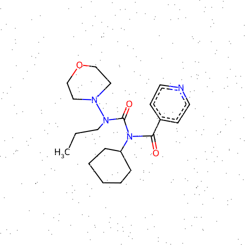 CCCN(C(=O)N(C(=O)c1ccncc1)C1CCCCC1)N1CCOCC1